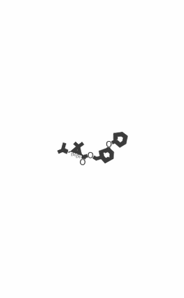 CC(C)=C[C@H]1[C@H](C(=O)OCc2cccc(Oc3ccccc3)c2)C1(C)C